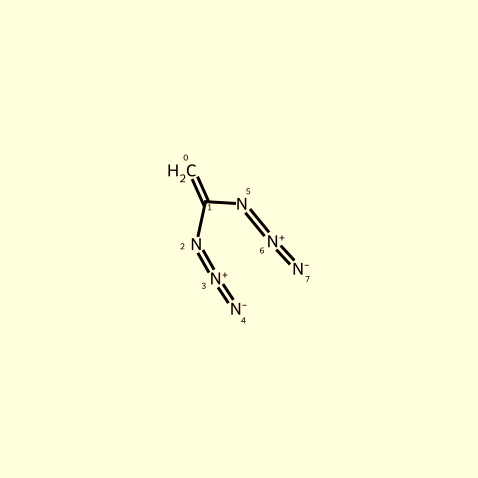 C=C(N=[N+]=[N-])N=[N+]=[N-]